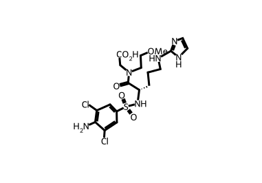 COCCN(CC(=O)O)C(=O)[C@H](CCCNc1ncc[nH]1)NS(=O)(=O)c1cc(Cl)c(N)c(Cl)c1